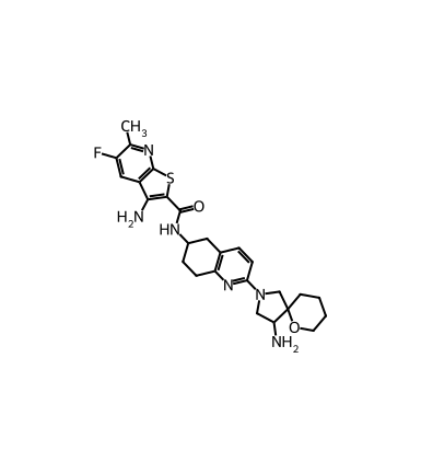 Cc1nc2sc(C(=O)NC3CCc4nc(N5CC(N)C6(CCCCO6)C5)ccc4C3)c(N)c2cc1F